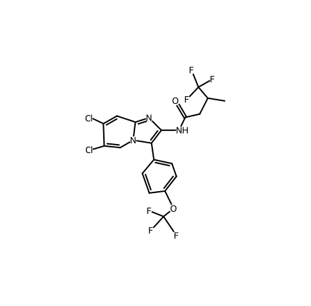 CC(CC(=O)Nc1nc2cc(Cl)c(Cl)cn2c1-c1ccc(OC(F)(F)F)cc1)C(F)(F)F